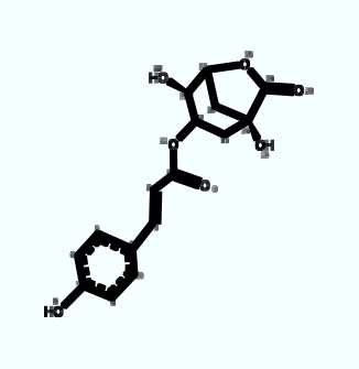 O=C(/C=C/c1ccc(O)cc1)OC1C[C@]2(O)CC(OC2=O)[C@@H]1O